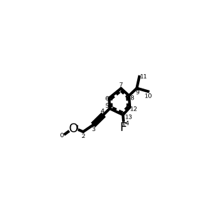 COCC#Cc1ccc(C(C)C)cc1F